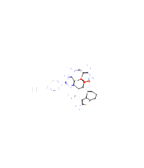 C[C@H](c1cccnc1N)N(C)c1nc(N2CCN(C)CC2)nc2c(F)c(-c3ccc(F)c4sc(N)c(C#N)c34)c(Cl)cc12